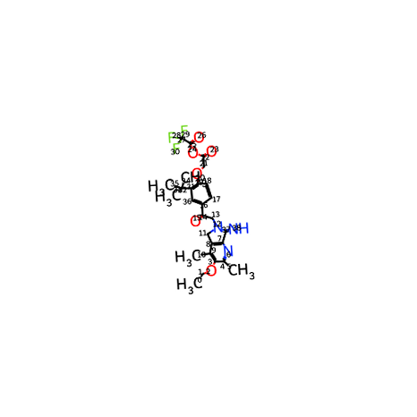 CCOc1c(C)nc2c(c1C)CN(CC(=O)c1ccc(OCC(=O)OC(=O)C(F)(F)F)c(C(C)(C)C)c1)C2=N